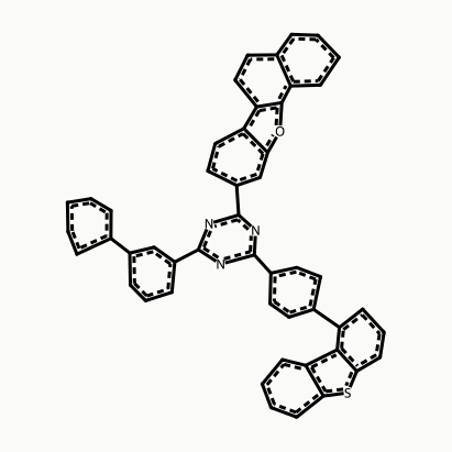 c1ccc(-c2cccc(-c3nc(-c4ccc(-c5cccc6sc7ccccc7c56)cc4)nc(-c4ccc5c(c4)oc4c6ccccc6ccc54)n3)c2)cc1